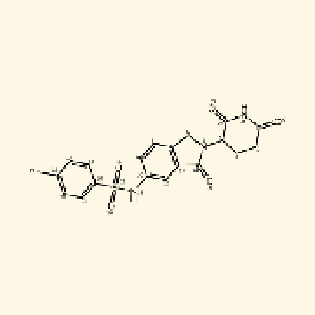 O=C1CCC(N2Cc3ccc(NS(=O)(=O)c4ccc(F)cc4)cc3C2=O)C(=O)N1